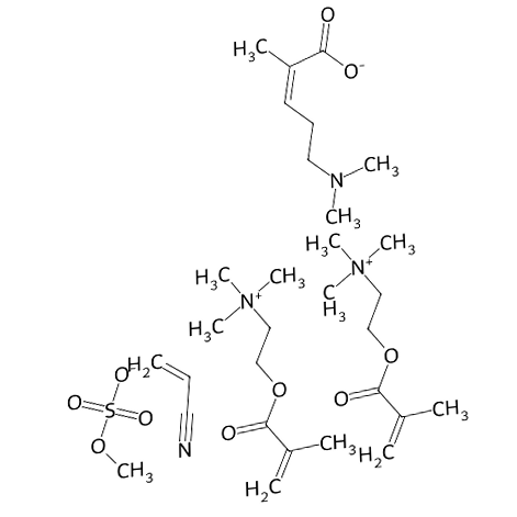 C=C(C)C(=O)OCC[N+](C)(C)C.C=C(C)C(=O)OCC[N+](C)(C)C.C=CC#N.CC(=CCCN(C)C)C(=O)[O-].COS(=O)(=O)[O-]